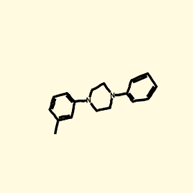 Cc1cccc(N2CCN(c3ccccc3)CC2)c1